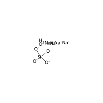 O.[Na+].[Na+].[Na+].[Na+].[O-][Si]([O-])([O-])[O-]